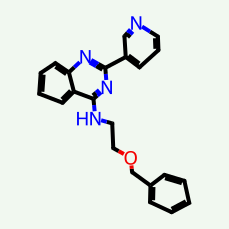 c1ccc(COCCNc2nc(-c3cccnc3)nc3ccccc23)cc1